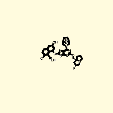 C#Cc1c(Cl)ccc2cc(O)cc(Oc3nc4c(N5CC6CCC(C5)N6)nc(OC[C@@]56CCCN5C[C@H](F)C6)nc4s3)c12